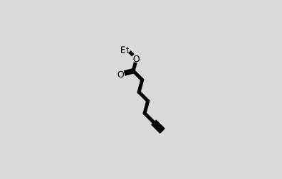 C#CCCCCC(=O)OCC